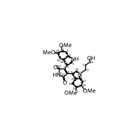 COc1cc2[nH]cc(C3=C(c4cn(CCCO)c5cc(OC)c(OC)cc45)C(=O)NC3=O)c2cc1OC